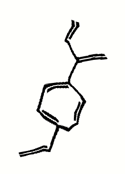 C=CC(=C)c1ccc(C=C)cc1